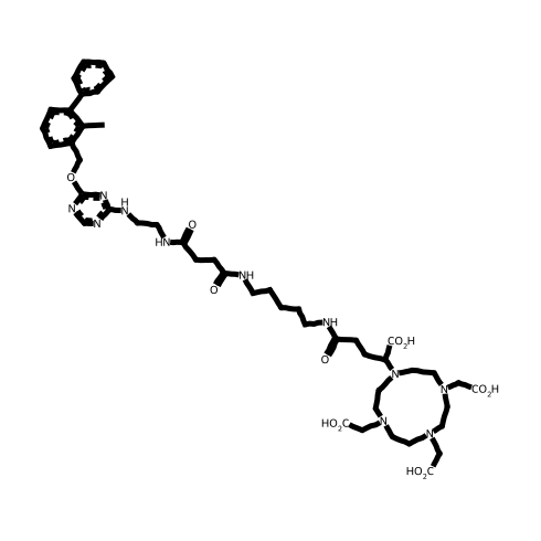 Cc1c(COc2ncnc(NCCNC(=O)CCC(=O)NCCCCCNC(=O)CCC(C(=O)O)N3CCN(CC(=O)O)CCN(CC(=O)O)CCN(CC(=O)O)CC3)n2)cccc1-c1ccccc1